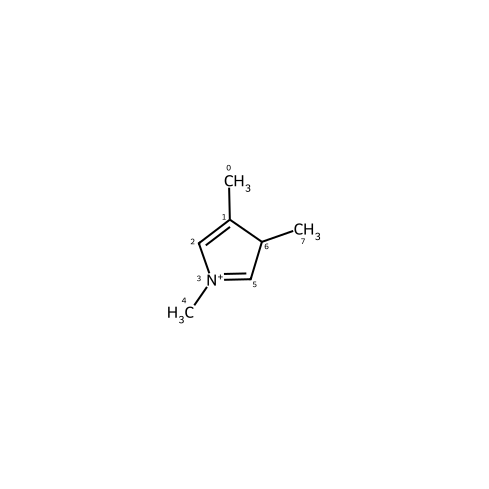 CC1=C[N+](C)=CC1C